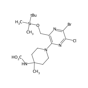 CC1(NC(=O)O)CCN(c2nc(Cl)c(Br)nc2CO[Si](C)(C)C(C)(C)C)CC1